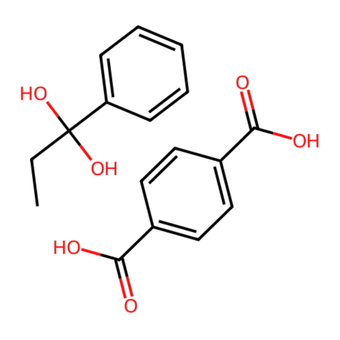 CCC(O)(O)c1ccccc1.O=C(O)c1ccc(C(=O)O)cc1